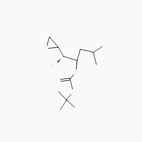 CC(C)CC(NC(=O)OC(C)(C)C)[C@@H](O)[C@]1(C)CO1